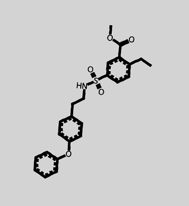 CCc1ccc(S(=O)(=O)NCCc2ccc(Oc3ccccc3)cc2)cc1C(=O)OC